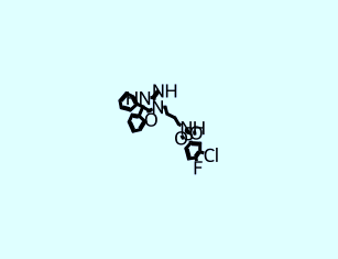 N=C1NC(c2ccccc2)(c2ccccc2)C(=O)N1CCCCNS(=O)(=O)c1ccc(F)c(Cl)c1